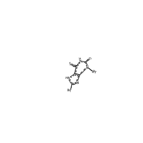 CC(C)c1nc2c([nH]1)c(=S)[nH]c(=O)n2C(C)C